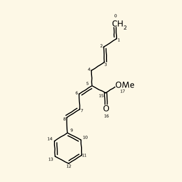 C=CC=CCC(=CC=Cc1ccccc1)C(=O)OC